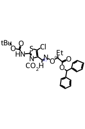 CC[C@H](O/N=C(\C(=O)O)c1nc(NC(=O)OC(C)(C)C)sc1Cl)C(=O)OC(c1ccccc1)c1ccccc1